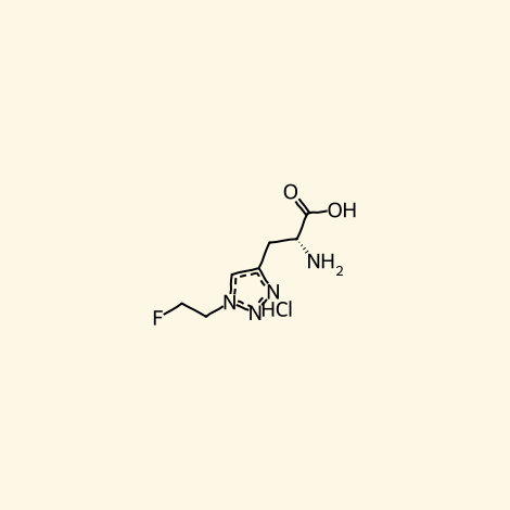 Cl.N[C@H](Cc1cn(CCF)nn1)C(=O)O